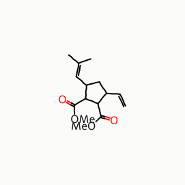 C=CC1CC(C=C(C)C)C(C(=O)OC)C1C(=O)OC